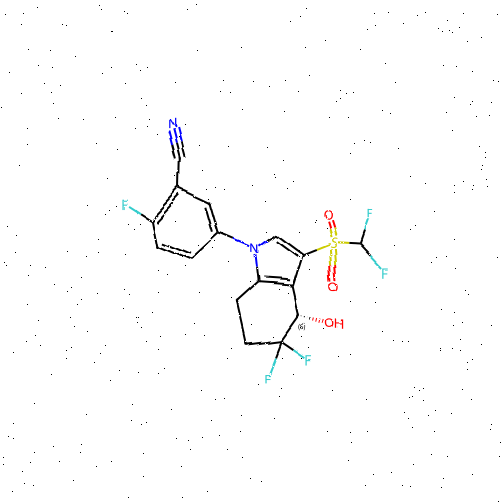 N#Cc1cc(-n2cc(S(=O)(=O)C(F)F)c3c2CCC(F)(F)[C@H]3O)ccc1F